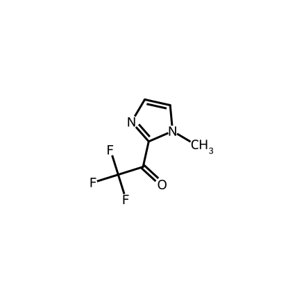 Cn1ccnc1C(=O)C(F)(F)F